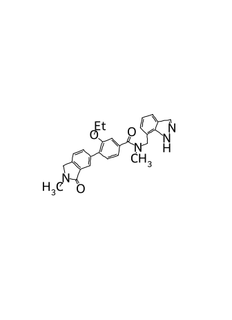 CCOc1cc(C(=O)N(C)Cc2cccc3cn[nH]c23)ccc1-c1ccc2c(c1)C(=O)N(C)C2